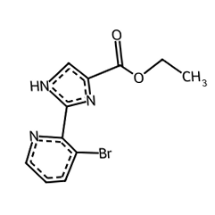 CCOC(=O)c1c[nH]c(-c2ncccc2Br)n1